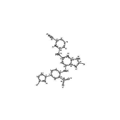 Cc1csc(-c2ccc(Nc3cc(Nc4cccc(C#N)n4)nc4[nH]c(C)nc34)c([SH](=O)=O)c2)n1